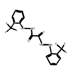 O=C(NNc1ccccc1C(F)(F)F)C(=O)NNc1ccccc1C(F)(F)F